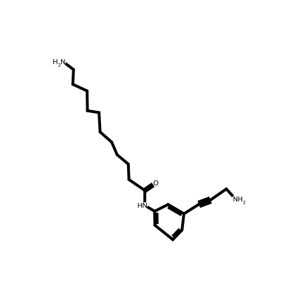 NCC#Cc1cccc(NC(=O)CCCCCCCCCCN)c1